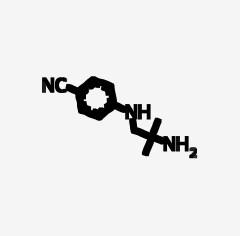 CC(C)(N)CNc1ccc(C#N)cc1